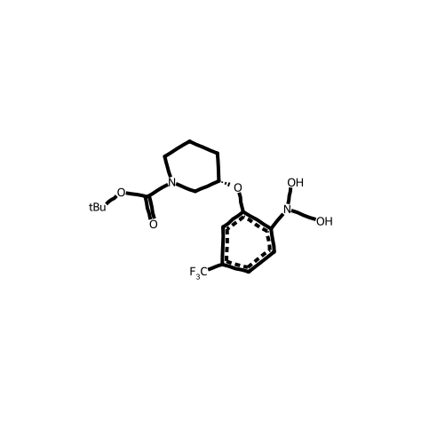 CC(C)(C)OC(=O)N1CCC[C@H](Oc2cc(C(F)(F)F)ccc2N(O)O)C1